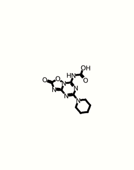 O=C(O)Nc1nc(N2CCCCC2)nc2nc(=O)on12